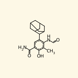 Cc1c(O)c(C(N)=O)cc(C2C3CC4CC(C3)CC2C4)c1NC=O